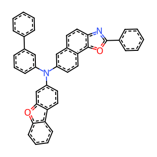 c1ccc(-c2cccc(N(c3ccc4c(ccc5nc(-c6ccccc6)oc54)c3)c3ccc4c(c3)oc3ccccc34)c2)cc1